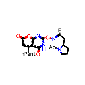 CCCCCc1cc(=O)oc2nc(O/N=C(\CC)CC3CCCN3C(C)=O)[nH]c(=O)c12